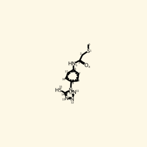 CSCC(=O)Nc1ccc(-n2nnnc2S)cc1